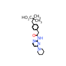 CC(C)(Cc1ccc(CC(=O)Nc2nccc(N3CCCCC3)n2)cc1)C(=O)O